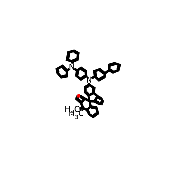 CC1(C)c2ccccc2C2(c3ccccc3-c3cc(N(c4ccc(-c5ccccc5)cc4)c4ccc(N(c5ccccc5)c5ccccc5)cc4)ccc32)c2ccccc21